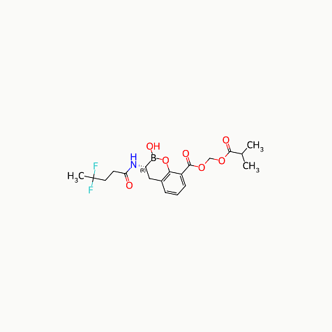 CC(C)C(=O)OCOC(=O)c1cccc2c1OB(O)[C@@H](NC(=O)CCC(C)(F)F)C2